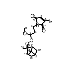 COC(CCN1C(=O)C=C(C)C1=O)OOC1(C)CCC2CC1C2(C)C